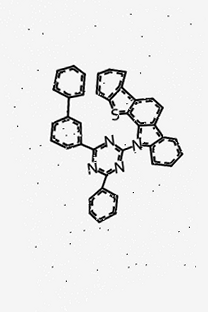 c1ccc(-c2cccc(-c3nc(-c4ccccc4)nc(-n4c5ccccc5c5ccc6c7ccccc7sc6c54)n3)c2)cc1